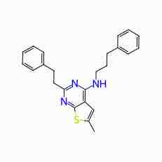 Cc1cc2c(NCCCc3ccccc3)nc(CCc3ccccc3)nc2s1